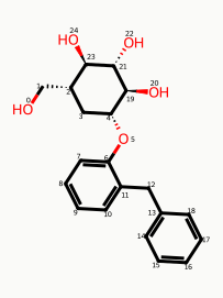 OC[C@H]1C[C@@H](Oc2ccccc2Cc2ccccc2)[C@H](O)[C@@H](O)[C@@H]1O